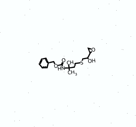 CC(C)(CCSCC(O)C1CO1)NC(=O)OCc1ccccc1